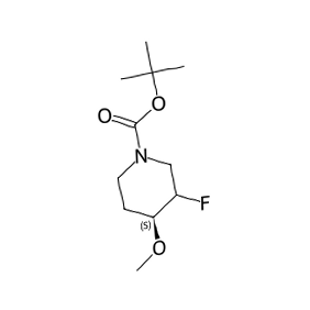 CO[C@H]1CCN(C(=O)OC(C)(C)C)CC1F